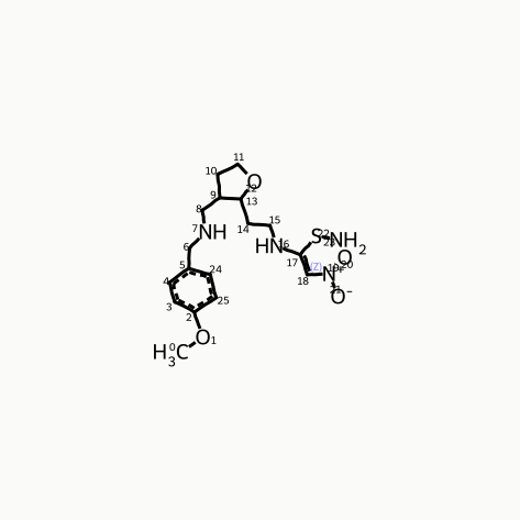 COc1ccc(CNCC2CCOC2CCN/C(=C/[N+](=O)[O-])SN)cc1